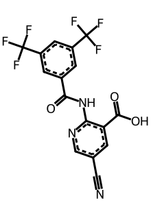 N#Cc1cnc(NC(=O)c2cc(C(F)(F)F)cc(C(F)(F)F)c2)c(C(=O)O)c1